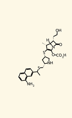 CC(SC[C@@H]1C[C@H](SC2=C(OC(=O)O)N3C(=O)[C@@H](CCO)[C@H]3[C@H]2C)CN1)c1ccc2cccc(N)c2c1